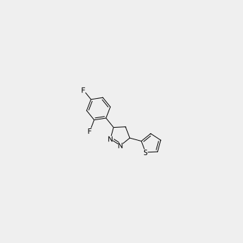 Fc1ccc(C2CC(c3cccs3)N=N2)c(F)c1